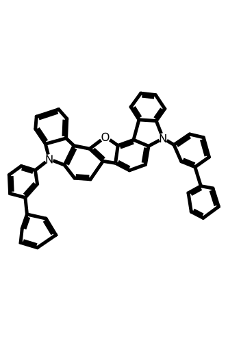 c1ccc(-c2cccc(-n3c4ccccc4c4c5oc6c(ccc7c6c6ccccc6n7-c6cccc(-c7ccccc7)c6)c5ccc43)c2)cc1